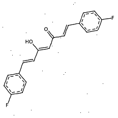 O=C(/C=C(O)/C=C/c1ccc(F)cc1)/C=C/c1ccc(F)cc1